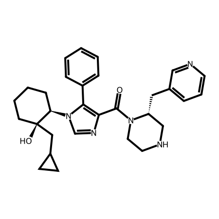 O=C(c1ncn([C@@H]2CCCC[C@@]2(O)CC2CC2)c1-c1ccccc1)N1CCNC[C@H]1Cc1cccnc1